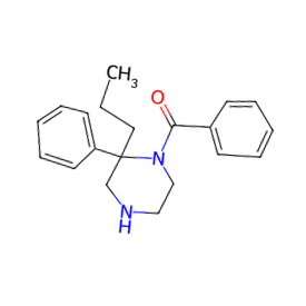 CCCC1(c2ccccc2)CNCCN1C(=O)c1ccccc1